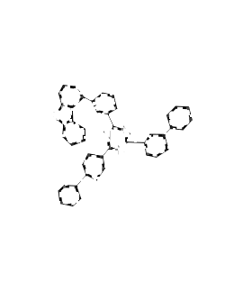 c1ccc(-c2ccc(-c3nc(-c4cccc(-c5ccccc5)c4)nc(-c4cccc(-c5cccc6sc7ccccc7c56)c4)n3)cc2)cc1